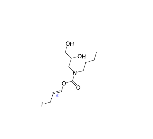 CCCCN(CC(O)CO)C(=O)O/C=C/CI